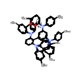 C[C@H]1C2=CC1c1cc(C(C)(C)C)ccc1N2c1cccc(-n2c3ccc(C(C)(C)C)cc3c3cc(C(C)(C)C)ccc32)c1-c1cc(N(c2ccc(C(C)(C)C)cc2)c2ccc(C(C)(C)C)cc2)cc(N(c2ccc(C(C)(C)C)cc2)c2ccc(C(C)(C)C)cc2)c1